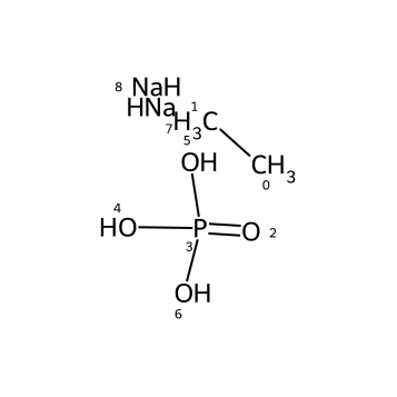 CC.O=P(O)(O)O.[NaH].[NaH]